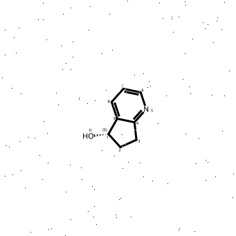 O[C@H]1CCc2ncccc21